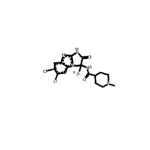 CN1CCC(C(=O)NC2(C(F)(F)F)C(=O)Nc3nc4cc(Cl)c(Cl)cc4n32)CC1